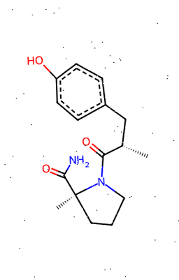 C[C@@H](Cc1ccc(O)cc1)C(=O)N1CCC[C@@]1(C)C(N)=O